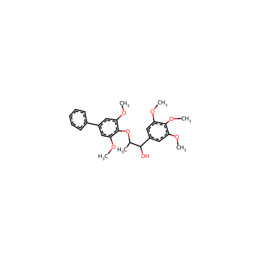 COc1cc(C(O)C(C)Oc2c(OC)cc(-c3ccccc3)cc2OC)cc(OC)c1OC